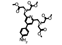 COC(=O)CN(CC(=O)OC)Cc1cc(-c2ccc(N)cc2)cc(CN(CC(=O)OC)CC(=O)OC)n1